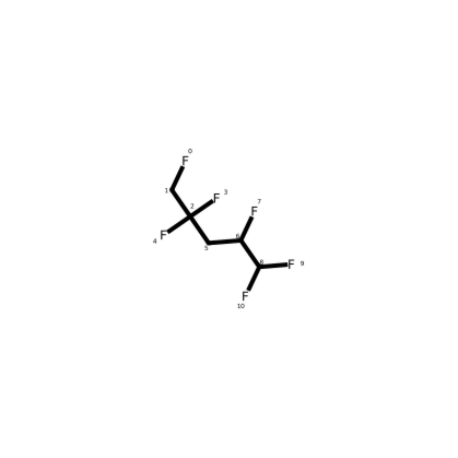 FCC(F)(F)CC(F)[C](F)F